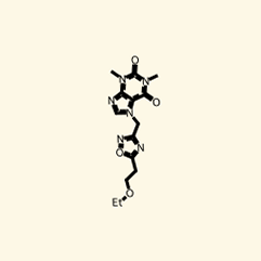 CCOCCc1nc(Cn2cnc3c2c(=O)n(C)c(=O)n3C)no1